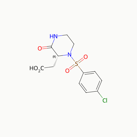 O=C(O)C[C@@H]1C(=O)NCCN1S(=O)(=O)c1ccc(Cl)cc1